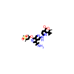 C[C@H](C[C@@H](C)S(C)(=O)=O)Oc1ncc(C(C)(C)N)c2cc(Nc3ccc4c(n3)C3(CC3)[C@H](C)OC4=O)ncc12